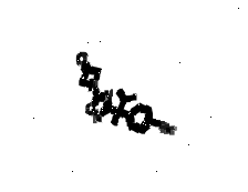 CC(C)C(C)(c1ccc(Br)cc1)c1noc(N2CC(=O)C2)n1